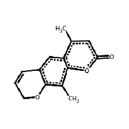 Cc1cc(=O)oc2c(C)c3c(cc12)C=CCO3